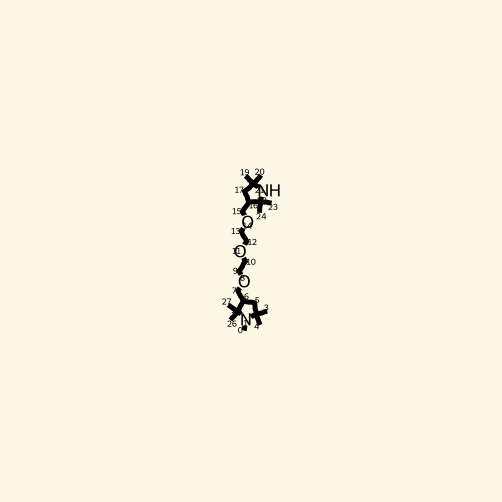 CN1C(C)(C)CC(COCCOCCOCC2CC(C)(C)NC2(C)C)C1(C)C